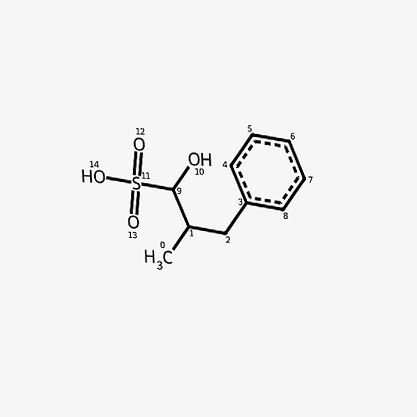 CC(Cc1ccccc1)C(O)S(=O)(=O)O